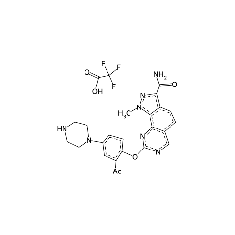 CC(=O)c1cc(N2CCNCC2)ccc1Oc1ncc2ccc3c(C(N)=O)nn(C)c3c2n1.O=C(O)C(F)(F)F